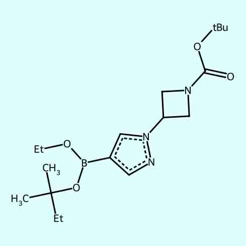 CCOB(OC(C)(C)CC)c1cnn(C2CN(C(=O)OC(C)(C)C)C2)c1